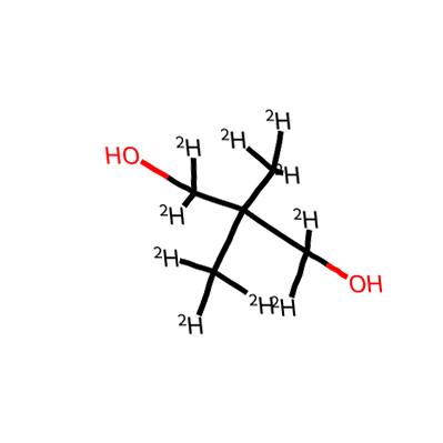 [2H]C([2H])([2H])C(C([2H])([2H])[2H])(C([2H])([2H])O)C([2H])([2H])O